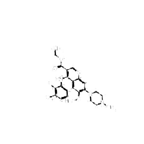 CCOC(=O)c1cnc2cc(N3CCN(C)CC3)c(OC)cc2c1Nc1cccc(Cl)c1F